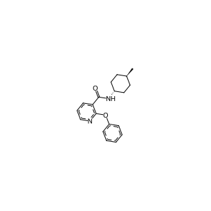 C[C@H]1CC[C@H](NC(=O)c2cccnc2Oc2ccccc2)CC1